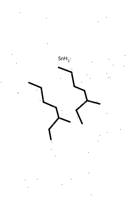 CCCCC(C)CC.CCCCC(C)CC.[SnH2]